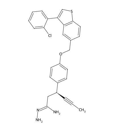 CC#C[C@@H](C/C(N)=N/N)c1ccc(OCc2ccc3scc(-c4ccccc4Cl)c3c2)cc1